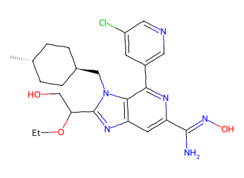 CCOC(CO)c1nc2cc(/C(N)=N/O)nc(-c3cncc(Cl)c3)c2n1C[C@H]1CC[C@H](C)CC1